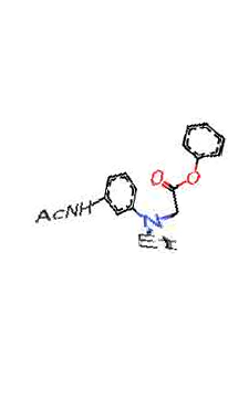 CCN(CC(=O)Oc1ccccc1)c1cccc(NC(C)=O)c1